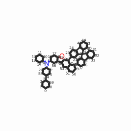 c1ccc(-c2ccc(N(c3ccccc3)c3ccc4oc5c(-c6ccc7c(c6)C6(c8ccccc8-c8ccccc86)c6ccccc6-7)c6ccccc6cc5c4c3)cc2)cc1